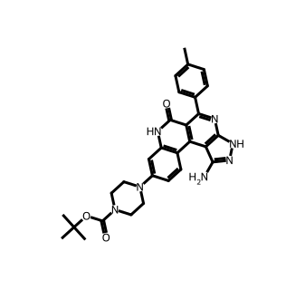 Cc1ccc(-c2nc3[nH]nc(N)c3c3c2c(=O)[nH]c2cc(N4CCN(C(=O)OC(C)(C)C)CC4)ccc23)cc1